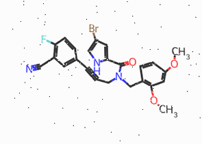 COc1ccc(CN(CC#Cc2ccc(F)c(C#N)c2)C(=O)c2cc(Br)c[nH]2)c(OC)c1